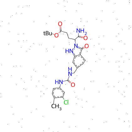 Cc1ccc(NC(=O)NCc2ccc3c(=O)n(C(CCC(=O)OC(C)(C)C)C(N)=O)[nH]c3c2)cc1Cl